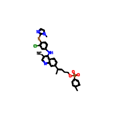 CC(=CCCOS(=O)(=O)c1ccc(C)cc1)c1ccc2c(Nc3ccc(Sc4nccn4C)c(Cl)c3)c(C#N)cnc2c1